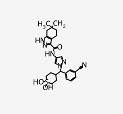 CC1(C)CCc2c(C(=O)Nc3cnn(C(c4cccc(C#N)c4)C4CCS(O)(O)CC4)c3)n[nH]c2C1